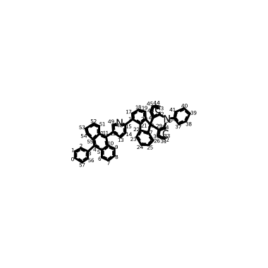 c1ccc(-c2c3ccccc3c(-c3ccc(-c4cccc5c4-c4ccccc4C54c5ccccc5N(c5ccccc5)c5ccccc54)nc3)c3ccccc23)cc1